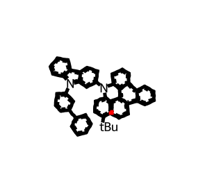 CC(C)(C)c1ccc(N(c2ccc3c4ccccc4n(-c4cccc(-c5ccccc5)c4)c3c2)c2cccc3c4ccccc4c4ccccc4c23)cc1